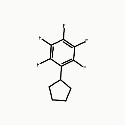 Fc1c(F)c(F)c(C2CCCC2)c(F)c1F